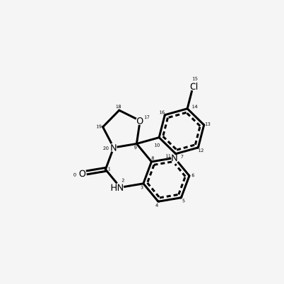 O=C1Nc2cccnc2C2(c3cccc(Cl)c3)OCCN12